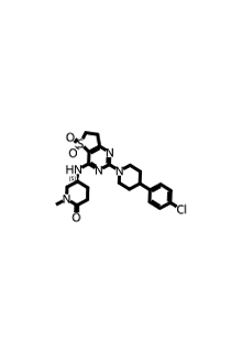 CN1C[C@@H](Nc2nc(N3CCC(c4ccc(Cl)cc4)CC3)nc3c2S(=O)(=O)CC3)CCC1=O